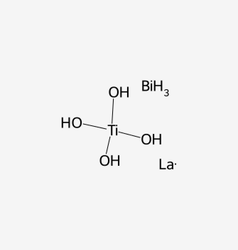 [BiH3].[La].[OH][Ti]([OH])([OH])[OH]